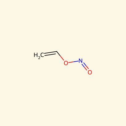 C=CON=O